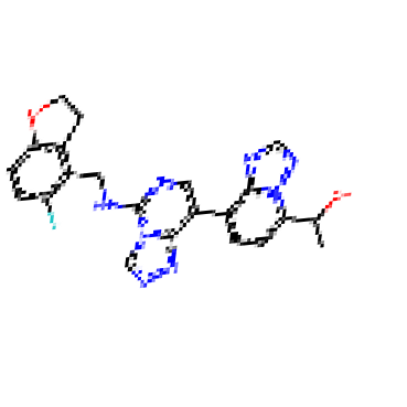 CC(O)c1ccc(-c2cnc(NCc3c(F)ccc4c3CCO4)n3cnnc23)c2ncnn12